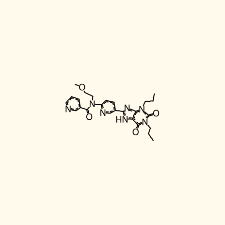 CCCn1c(=O)c2[nH]c(-c3ccc(N(CCOC)C(=O)c4cccnc4)nc3)nc2n(CCC)c1=O